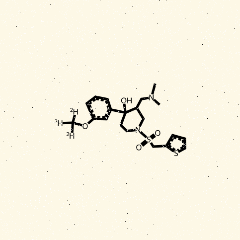 [2H]C([2H])([2H])Oc1cccc(C2(O)CCN(S(=O)(=O)Cc3cccs3)CC2CN(C)C)c1